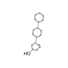 Oc1csc(-c2ccc(-c3ccccc3)cc2)c1